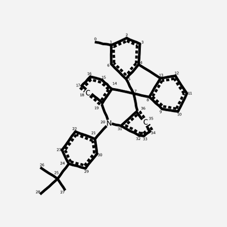 Cc1ccc2c(c1)C1(c3ccccc3-2)c2ccccc2N(c2ccc(C(C)(C)C)cc2)c2ccccc21